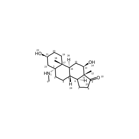 CN[C@@]12CC[C@H]3[C@@H]4CCC(=O)[C@@]4(C)[C@H](O)C[C@@H]3[C@@]1(C)CC[C@H](O)C2